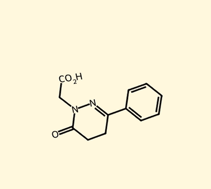 O=C(O)CN1N=C(c2ccccc2)CCC1=O